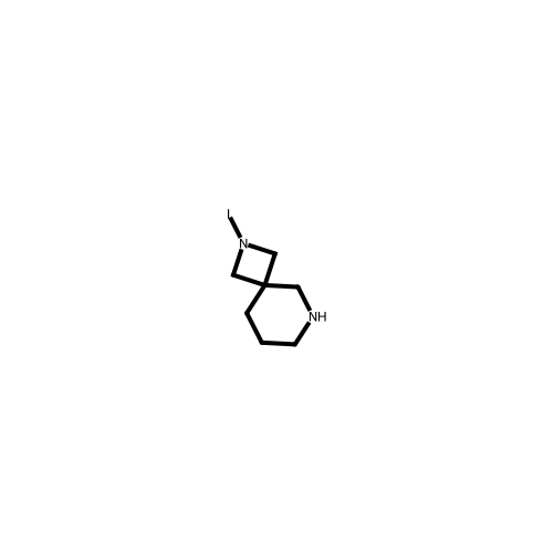 IN1CC2(CCCNC2)C1